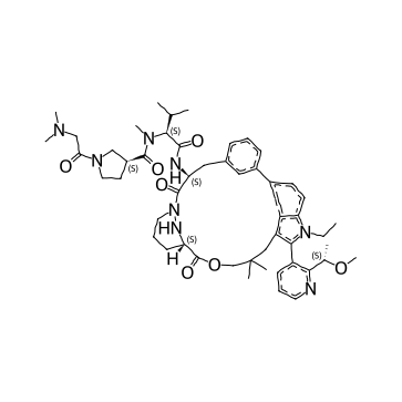 CCn1c(-c2cccnc2[C@H](C)OC)c2c3cc(ccc31)-c1cccc(c1)C[C@H](NC(=O)[C@H](C(C)C)N(C)C(=O)[C@H]1CCN(C(=O)CN(C)C)C1)C(=O)N1CCC[C@H](N1)C(=O)OCC(C)(C)C2